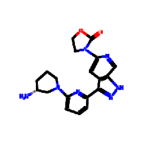 N[C@@H]1CCCN(c2cccc(-c3n[nH]c4cnc(N5CCOC5=O)cc34)n2)C1